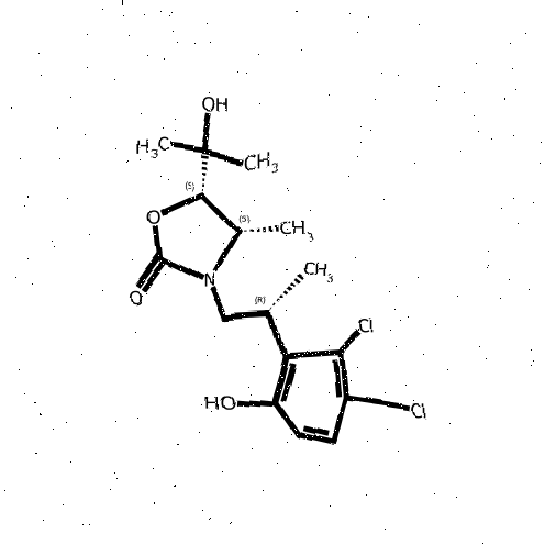 C[C@@H](CN1C(=O)O[C@H](C(C)(C)O)[C@@H]1C)c1c(O)ccc(Cl)c1Cl